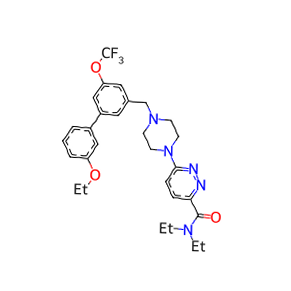 CCOc1cccc(-c2cc(CN3CCN(c4ccc(C(=O)N(CC)CC)nn4)CC3)cc(OC(F)(F)F)c2)c1